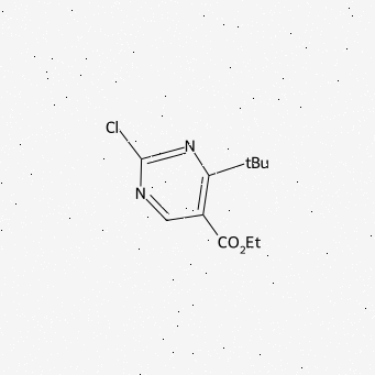 CCOC(=O)c1cnc(Cl)nc1C(C)(C)C